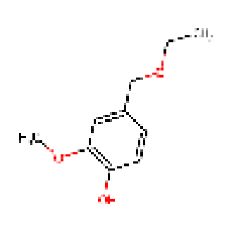 CCOCc1ccc(O)c(OC)c1